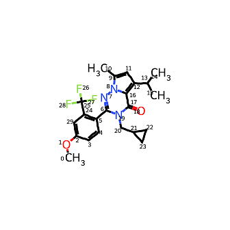 COc1ccc(-c2nn3c(C)cc(C(C)C)c3c(=O)n2CC2CC2)c(C(F)(F)F)c1